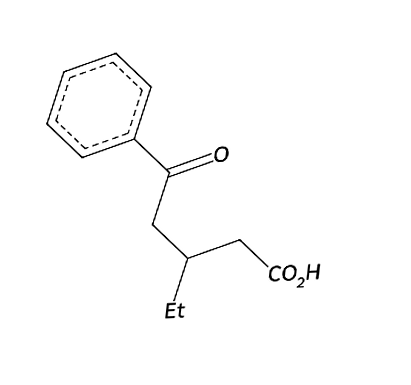 CCC(CC(=O)O)CC(=O)c1ccccc1